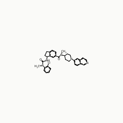 CN(C(=O)NC1CCc2ccc(C(=O)N(C)C3CCN(c4ccc5cnccc5c4)CC3)cc21)c1ccccc1Cl